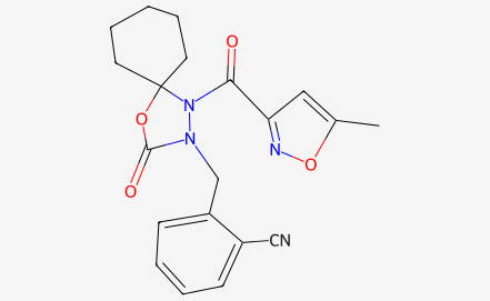 Cc1cc(C(=O)N2N(Cc3ccccc3C#N)C(=O)OC23CCCCC3)no1